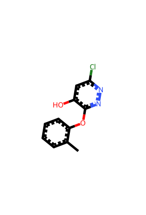 Cc1ccccc1Oc1nnc(Cl)cc1O